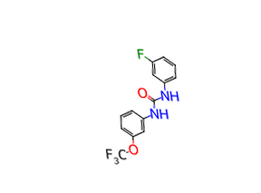 O=C(Nc1cccc(F)c1)Nc1cccc(OC(F)(F)F)c1